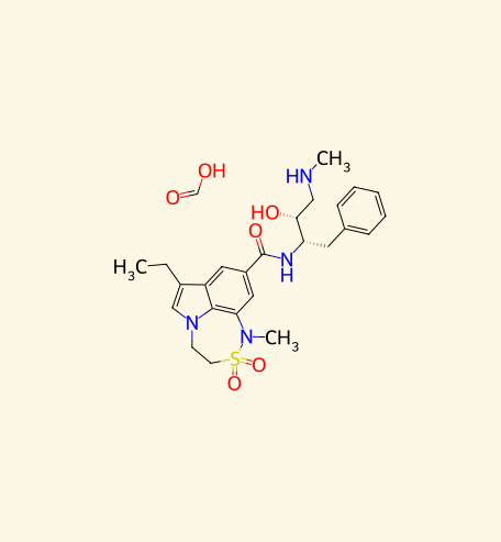 CCc1cn2c3c(cc(C(=O)N[C@@H](Cc4ccccc4)[C@H](O)CNC)cc13)N(C)S(=O)(=O)CC2.O=CO